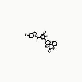 Cn1c(N2CCC3(CC2)NC(=O)NC2=CCCC=C23)cc(C(=O)N2CCC3C=C(F)C=CC32)cc1=O